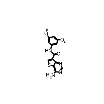 COc1cc(NC(=O)c2csc3c(N)ncnc23)cc(OC)c1